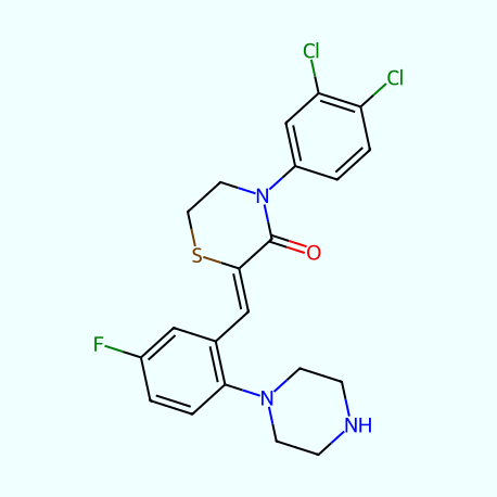 O=C1C(=Cc2cc(F)ccc2N2CCNCC2)SCCN1c1ccc(Cl)c(Cl)c1